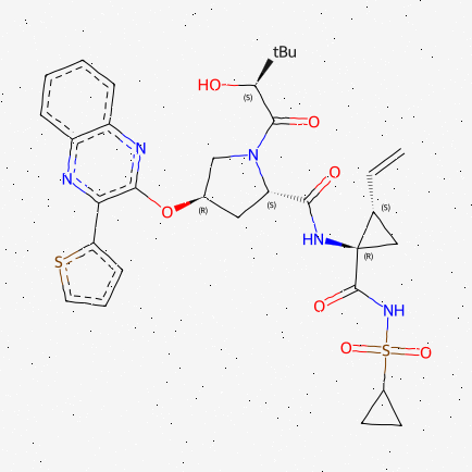 C=C[C@@H]1C[C@]1(NC(=O)[C@@H]1C[C@@H](Oc2nc3ccccc3nc2-c2cccs2)CN1C(=O)[C@@H](O)C(C)(C)C)C(=O)NS(=O)(=O)C1CC1